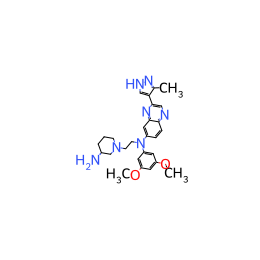 COc1cc(OC)cc(N(CCN2CCC[C@H](N)C2)c2ccc3ncc(-c4c[nH]nc4C)nc3c2)c1